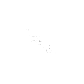 O=C(COc1ccc(C(F)(F)F)cc1Cl)Nc1ccc(OCCBr)c(Cl)c1